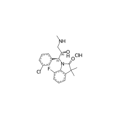 CNC[C@@H](O)[C@H](c1cccc(Cl)c1)N1C(=O)C(C)(C)c2cccc(F)c21.Cl